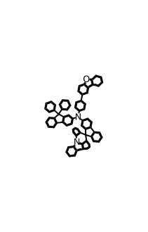 c1ccc(C2(c3ccccc3)c3ccccc3-c3ccc(N(c4ccc(-c5ccc6oc7ccccc7c6c5)cc4)c4ccc5c(c4)C4(c6ccccc6-5)c5ccccc5-n5c6ccccc6c6cccc4c65)cc32)cc1